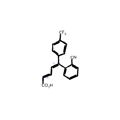 N#Cc1ccccc1/C(=C\C=C\C(=O)O)c1ccc(C(F)(F)F)cc1